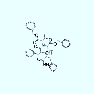 CC(C)C(C(=O)OCc1ccccc1)N(C(=O)C(Cc1ccccc1)C(O)C(Cc1ccccc1)C(N)=O)C(C(=O)OCc1ccccc1)C(C)C